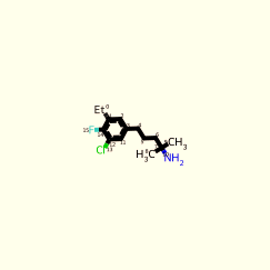 CCc1cc(CCCC(C)(C)N)cc(Cl)c1F